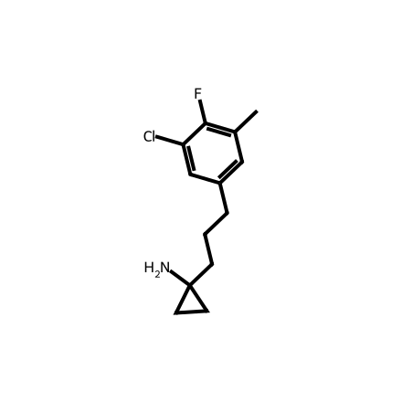 Cc1cc(CCCC2(N)CC2)cc(Cl)c1F